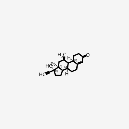 C#C[C@]1(O)CCC2[C@@H]3CCC4=CC(=O)CC[C@@H]4C3C(=C)C[C@@]21CC